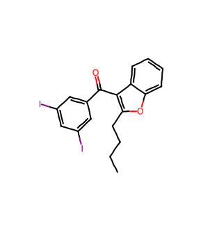 CCCCc1oc2ccccc2c1C(=O)c1cc(I)cc(I)c1